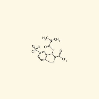 CN(C)C(=O)CC1c2cc(S(=O)(=O)Cl)ccc2CCN1C(=O)C(F)(F)F